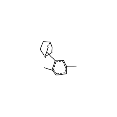 Cc1ccc(C)c(C2CC3CCN2CC3)c1